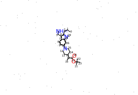 C/C=C\c1c(C=N)c2ccc(N3CCC(C(C)C(=O)OC(C)(C)C)CC3)cc2n1C